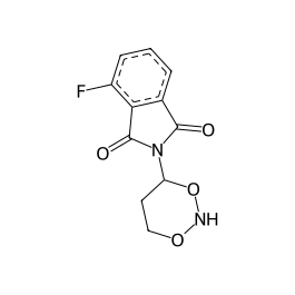 O=C1c2cccc(F)c2C(=O)N1C1CCONO1